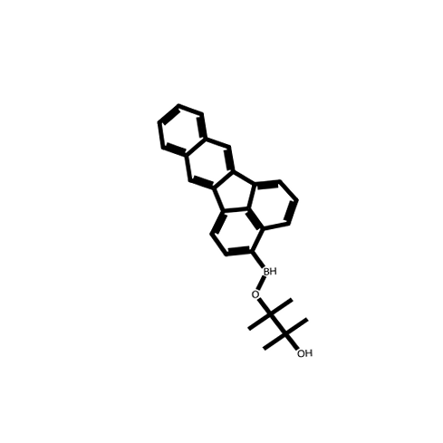 CC(C)(O)C(C)(C)OBc1ccc2c3c(cccc13)-c1cc3ccccc3cc1-2